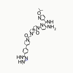 CN/C=N\C(=N)c1ccc(C2=CCN(C(=O)CN3CC[C@@]4(CCN(c5ccc(N)c(C(=N)c6ccc(OC(C)C)nc6)n5)C4=O)C3)CC2)cc1